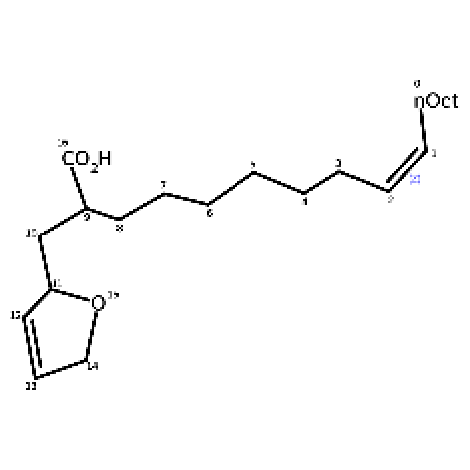 CCCCCCCC/C=C\CCCCCCC(CC1C=CCO1)C(=O)O